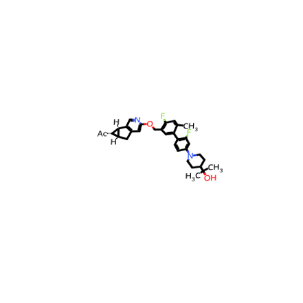 CC(=O)[C@H]1[C@@H]2Cc3cc(OCc4cc(-c5ccc(N6CCC(C(C)(C)O)CC6)cc5F)c(C)cc4F)ncc3[C@@H]21